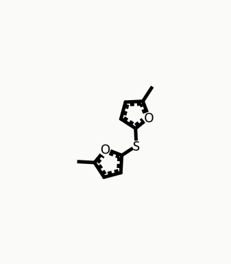 Cc1ccc(Sc2ccc(C)o2)o1